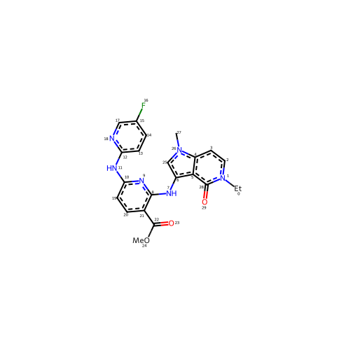 CCn1ccc2c(c(Nc3nc(Nc4ccc(F)cn4)ccc3C(=O)OC)cn2C)c1=O